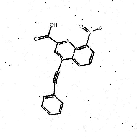 O=C(O)c1cc(C#Cc2ccccc2)c2cccc([N+](=O)[O-])c2n1